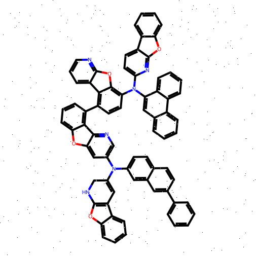 C1=C(N(c2ccc3ccc(-c4ccccc4)cc3c2)c2cnc3c(c2)oc2cccc(-c4ccc(N(c5ccc6c(n5)oc5ccccc56)c5cc6ccccc6c6ccccc56)c5oc6ncccc6c45)c23)CNc2oc3ccccc3c21